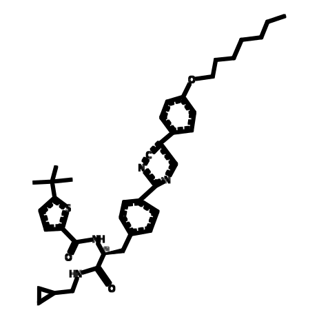 CCCCCCCOc1ccc(-c2cnc(-c3ccc(C[C@H](NC(=O)c4ccc(C(C)(C)C)s4)C(=O)NCC4CC4)cc3)nc2)cc1